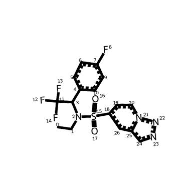 CCN(C(c1ccc(F)cc1)C(F)(F)F)S(=O)(=O)c1ccn2nncc2c1